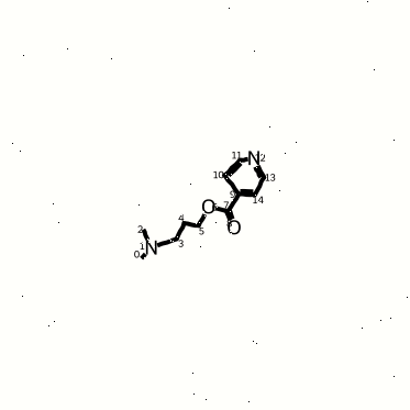 CN(C)CCCOC(=O)c1ccncc1